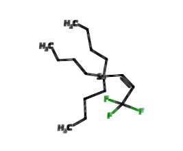 CCC[CH2][Sn](/[CH]=C\C(F)(F)F)([CH2]CCC)[CH2]CCC